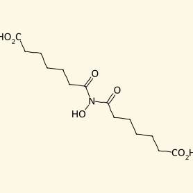 O=C(O)CCCCCC(=O)N(O)C(=O)CCCCCC(=O)O